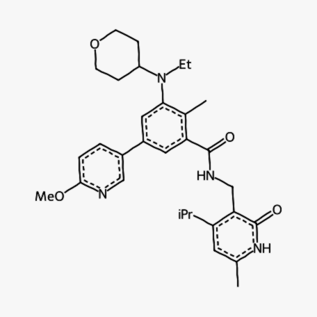 CCN(c1cc(-c2ccc(OC)nc2)cc(C(=O)NCc2c(C(C)C)cc(C)[nH]c2=O)c1C)C1CCOCC1